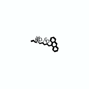 C=CCNCCCC(Cc1c2ccccc2cc2ccccc12)OC(=O)O